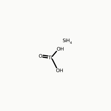 [O]=[Ti]([OH])[OH].[SiH4]